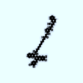 O=C(CNc1cc(C(=O)NCC(O)CN2CCc3ccccc3C2)ncn1)NCCCCCCCCCCCC(=O)NC(Cc1ccccc1)C(=O)N1CC(=Cc2ccc(Cl)c(Cl)c2)C(=O)C(=Cc2ccc(Cl)c(Cl)c2)C1